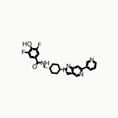 O=C(NC[C@H]1CC[C@H](n2cc3cnc(-c4cccnc4)cc3n2)CC1)c1cc(F)c(O)c(F)c1